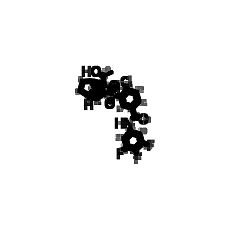 C[C@H](O)[C@@H](O)[C@@]1(O)C2CC[C@H]1C[C@H](S(=O)(=O)c1cc(C(=O)Nc3cc(F)c(F)c(F)c3)ccc1Cl)C2